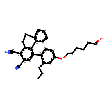 CCCc1cc(OCCCCCC=O)ccc1-c1cc(C#N)c(C#N)c2c1-c1ccccc1CC2